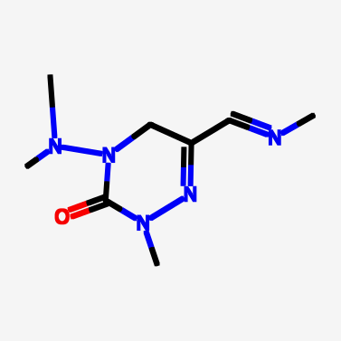 C/N=C/C1=NN(C)C(=O)N(N(C)C)C1